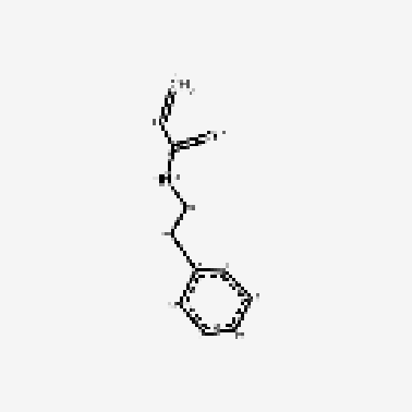 C=CC(=O)NC[C]c1ccccc1